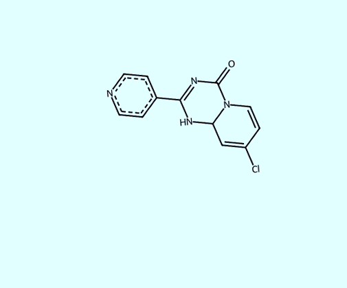 O=C1N=C(c2ccncc2)NC2C=C(Cl)C=CN12